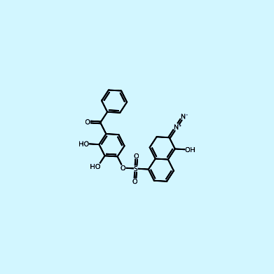 [N-]=[N+]=C1CC=c2c(S(=O)(=O)Oc3ccc(C(=O)c4ccccc4)c(O)c3O)cccc2=C1O